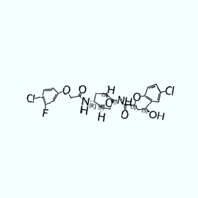 O=C(COc1ccc(Cl)c(F)c1)N[C@@H]1C[C@@H]2O[C@H]1C[C@H]2NC(=O)[C@@H]1C[C@H](O)c2cc(Cl)ccc2O1